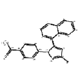 Cc1cc(-c2cccc3ccccc23)n(-c2ccc(C(N)=O)cc2)n1